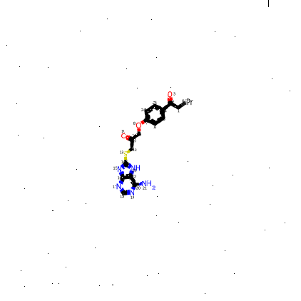 CC(C)CC(=O)c1ccc(OCC(=O)CSc2nc3ncnc(N)c3[nH]2)cc1